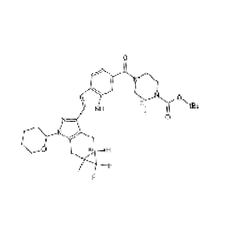 C[C@@H]1CN(C(=O)c2ccc3cc(-c4nn(C5CCCCO5)c5c4C[C@@H]4C(F)(F)C4(C)C5)[nH]c3c2)CCN1C(=O)OC(C)(C)C